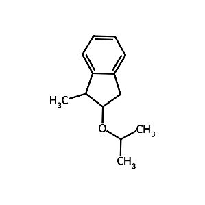 CC(C)OC1Cc2ccccc2C1C